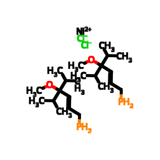 COC(C=CCP)(C(C)C)C(C)C.COC(C=CCP)(C(C)C)C(C)C.[Cl-].[Cl-].[Ni+2]